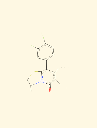 CCCCCCCc1c(-c2ccc(F)c(F)c2)c2n(c(=O)c1C(=O)O)C(C(=O)O)CS2